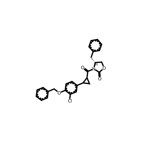 O=C1OC[C@@H](Cc2ccccc2)N1C(=O)C1CC1c1ccc(OCc2ccccc2)c(Cl)c1